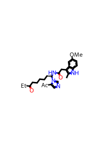 CCC(=O)CCCCC[C@@H](NC(=O)Cc1c(C)[nH]c2ccc(OC)cc12)n1cncc1C(C)=O